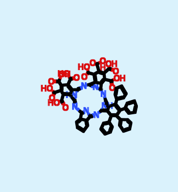 O=C(O)c1c(C(=O)O)c(C(=O)O)c2c(c1C(=O)O)-c1nc-2nc2[nH]c(nc3nc(nc4[nH]c(n1)c1c(C(=O)O)c(C(=O)O)c(C(=O)O)c(C(=O)O)c41)-c1ccccc1-3)c1c(-c3ccccc3)c(-c3ccccc3)c(-c3ccccc3)c(-c3ccccc3)c21